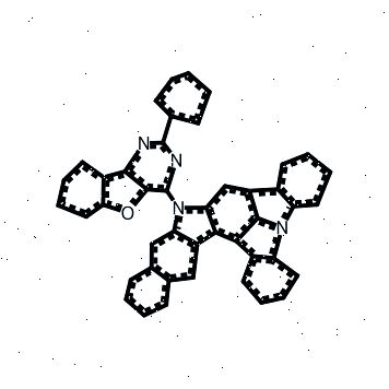 c1ccc(-c2nc(-n3c4cc5ccccc5cc4c4c5c6ccccc6n6c7ccccc7c(cc43)c56)c3oc4ccccc4c3n2)cc1